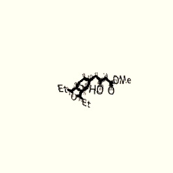 CCC1OC(CC)C2C3OC(CC3CC(O)CC(=O)OC)C12